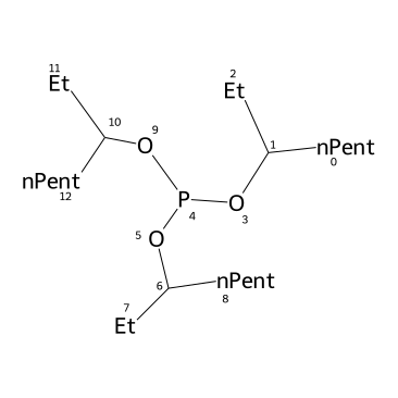 CCCCCC(CC)OP(OC(CC)CCCCC)OC(CC)CCCCC